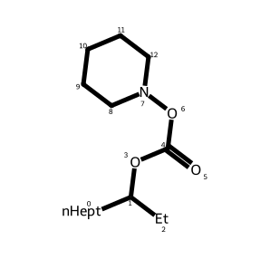 CCCCCCCC(CC)OC(=O)ON1CCCCC1